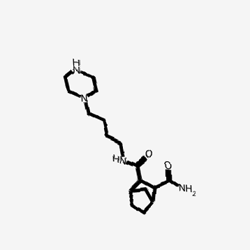 NC(=O)C1C2CCC(C2)C1C(=O)NCCCCN1CCNCC1